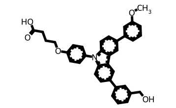 COc1cccc(-c2ccc3c(c2)c2cc(-c4cccc(CO)c4)ccc2n3-c2ccc(OCCCC(=O)O)cc2)c1